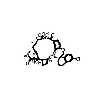 C[C@@H]1[C@@H](C)C/C=C/[C@](O)(C(F)(F)C(=O)N(C)C)[C@@H]2CC[C@H]2CN2C[C@@]3(CCCc4cc(Cl)ccc43)COc3ccc(cc32)C(=O)NS1(=O)=O